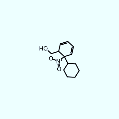 O=[N+]([O-])C1(C2CCCCC2)C=CC=CC1CO